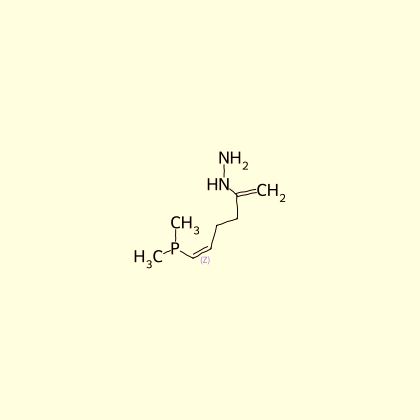 C=C(CC/C=C\P(C)C)NN